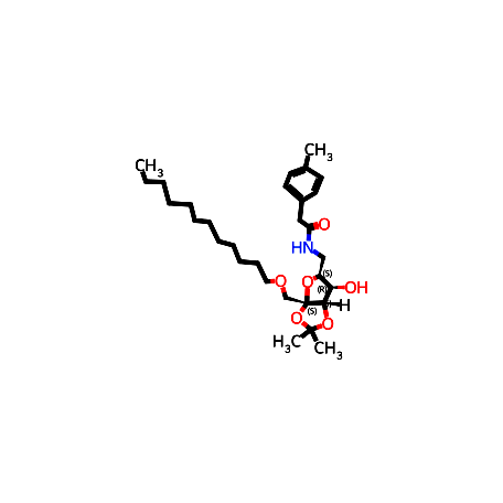 CCCCCCCCCCCCOC[C@@]12O[C@@H](CNC(=O)Cc3ccc(C)cc3)[C@@H](O)[C@@H]1OC(C)(C)O2